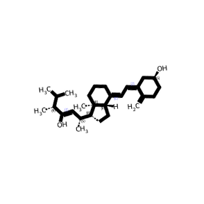 C=C1CC[C@H](O)C/C1=C/C=C1\CCC[C@]2(C)[C@@H]([C@H](C)/C=C(\O)[C@H](C)C(C)C)CC[C@@H]12